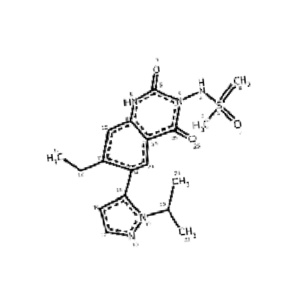 C=S(C)(=O)Nn1c(=O)[nH]c2cc(CC)c(-c3ccnn3C(C)C)cc2c1=O